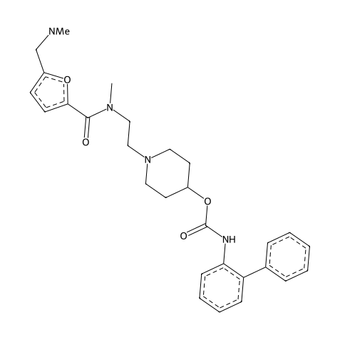 CNCc1ccc(C(=O)N(C)CCN2CCC(OC(=O)Nc3ccccc3-c3ccccc3)CC2)o1